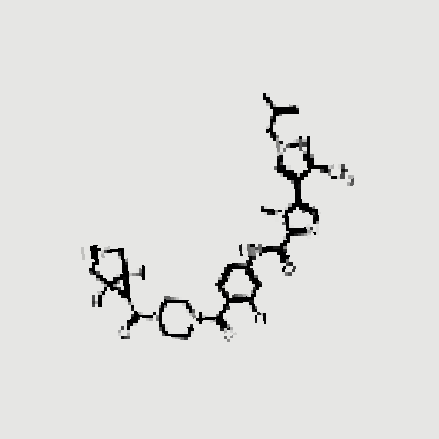 C=C(C)Cn1cc(-c2cnc(C(=O)Nc3ccc(C(=O)N4CCN(C(=O)[C@H]5[C@@H]6CNC[C@@H]65)CC4)c(Cl)c3)n2C)c(C(F)(F)F)n1